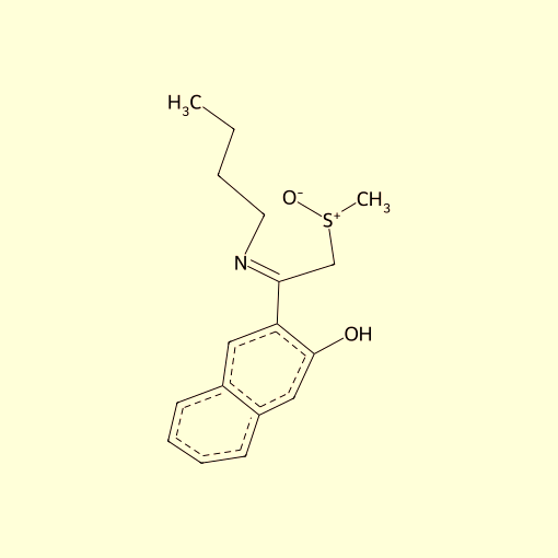 CCCCN=C(C[S+](C)[O-])c1cc2ccccc2cc1O